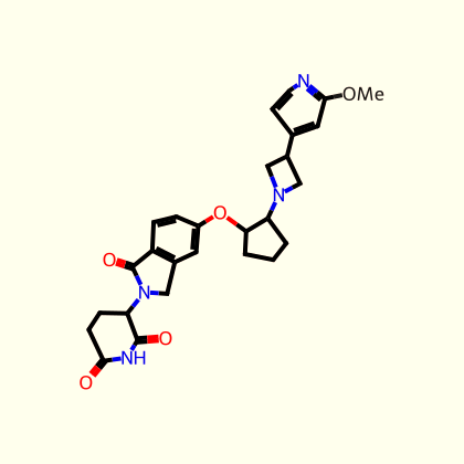 COc1cc(C2CN(C3CCCC3Oc3ccc4c(c3)CN(C3CCC(=O)NC3=O)C4=O)C2)ccn1